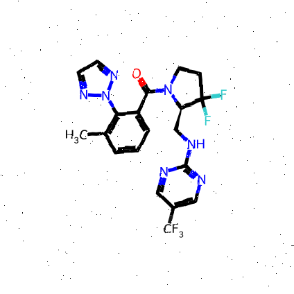 Cc1cccc(C(=O)N2CCC(F)(F)[C@H]2CNc2ncc(C(F)(F)F)cn2)c1-n1nccn1